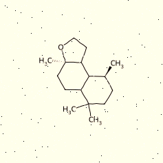 C[C@H]1CCC(C)(C)C2CC[C@@]3(C)OCCC3C21